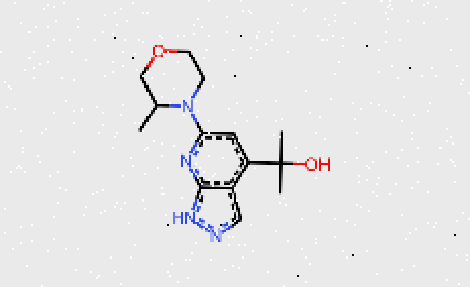 CC1COCCN1c1cc(C(C)(C)O)c2cn[nH]c2n1